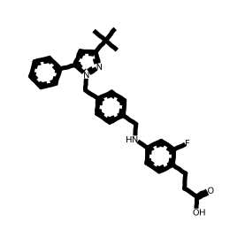 CC(C)(C)c1cc(-c2ccccc2)n(Cc2ccc(CNc3ccc(CCC(=O)O)c(F)c3)cc2)n1